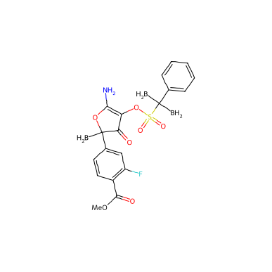 BC1(c2ccc(C(=O)OC)c(F)c2)OC(N)=C(OS(=O)(=O)C(B)(B)c2ccccc2)C1=O